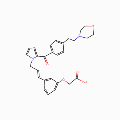 O=C(O)COc1cccc(/C=C/Cn2cccc2C(=O)c2ccc(CCN3CCOCC3)cc2)c1